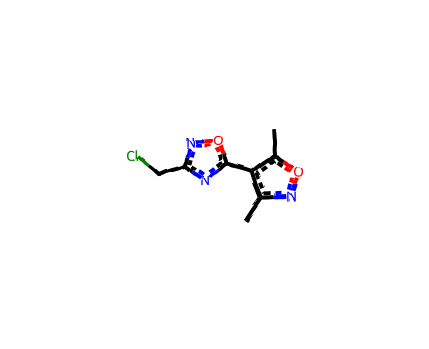 Cc1noc(C)c1-c1nc(CCl)no1